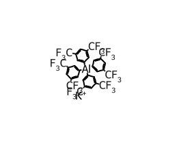 FC(F)(F)c1cc(C(F)(F)F)c[c]([Al-]([c]2cc(C(F)(F)F)cc(C(F)(F)F)c2)([c]2cc(C(F)(F)F)cc(C(F)(F)F)c2)[c]2cc(C(F)(F)F)cc(C(F)(F)F)c2)c1.[K+]